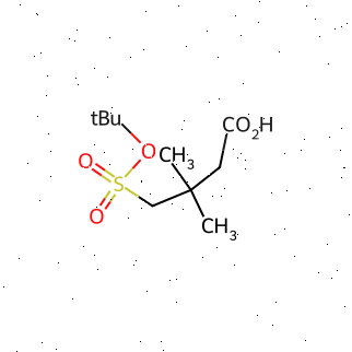 CC(C)(CC(=O)O)CS(=O)(=O)OC(C)(C)C